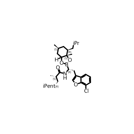 CCC[C@@H](C)C[C@H](C)C(=O)N[C@@H](Cc1coc2c(Cl)cccc12)B1O[C@@H]2C[C@@H](C)C[C@@H](CC(C)C)[C@]2(C)O1